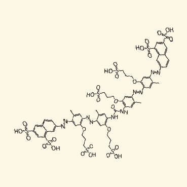 Cc1cc(N=Nc2cc(OCCCS(=O)(=O)O)c(NC(=O)Nc3cc(C)c(N=Nc4cc(C)c(N=Nc5ccc6cc(S(=O)(=O)O)cc(S(=O)(=O)O)c6c5)cc4OCCCS(=O)(=O)O)cc3OCCCS(=O)(=O)O)cc2C)c(OCCCS(=O)(=O)O)cc1N=Nc1ccc2cc(S(=O)(=O)O)cc(S(=O)(=O)O)c2c1